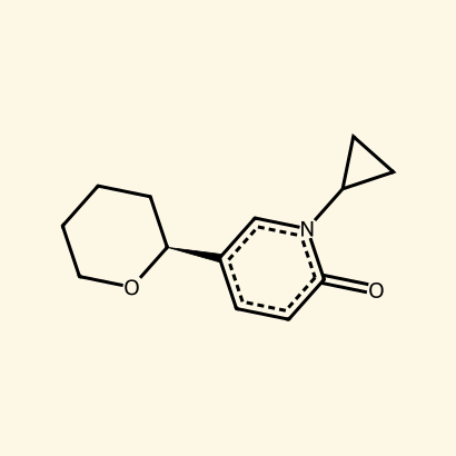 O=c1ccc([C@@H]2CCCCO2)cn1C1CC1